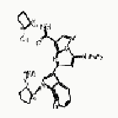 CNc1cc(-c2cn([C@H]3CCC[C@@H]3OC)c3ncccc23)nc2c(C(=O)N[C@H]3CC[C@H]3O)cnn12